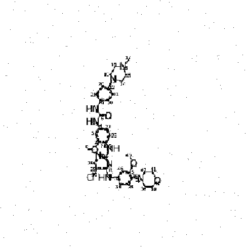 COc1cc(NC(=O)Nc2ccc(N3CCN(C)CC3)cc2)ccc1Nc1ncc(Cl)c(Nc2ccc(N3CCOCC3)c(OC)c2)n1